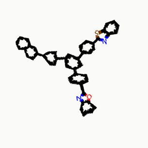 c1ccc2cc(-c3ccc(-c4cc(-c5ccc(-c6nc7ccccc7o6)cc5)cc(-c5ccc(-c6nc7ccccc7s6)cc5)c4)cc3)ccc2c1